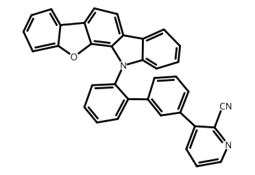 N#Cc1ncccc1-c1cccc(-c2ccccc2-n2c3ccccc3c3ccc4c5ccccc5oc4c32)c1